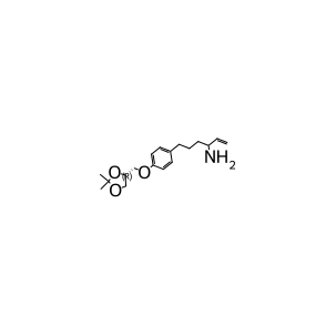 C=CC(N)CCCc1ccc(OC[C@@H]2COC(C)(C)O2)cc1